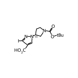 CC(C)(C)OC(=O)N1CC[C@H](n2cc(C(=O)O)c(I)n2)C1